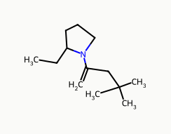 C=C(CC(C)(C)C)N1CCCC1CC